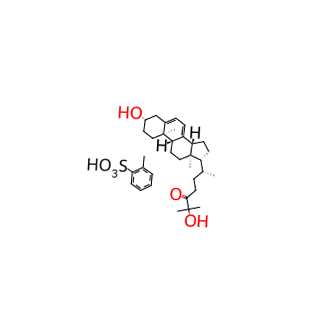 C[C@H](CCC(=O)C(C)(C)O)[C@H]1CC[C@H]2C3=CC=C4C[C@@H](O)CC[C@]4(C)[C@H]3CC[C@]12C.Cc1ccccc1S(=O)(=O)O